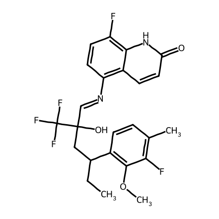 CCC(CC(O)(/C=N/c1ccc(F)c2[nH]c(=O)ccc12)C(F)(F)F)c1ccc(C)c(F)c1OC